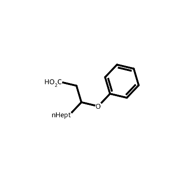 CCCCCCCC(CC(=O)O)Oc1ccccc1